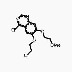 COCCOc1cc2ncnc(Cl)c2cc1OCCCl